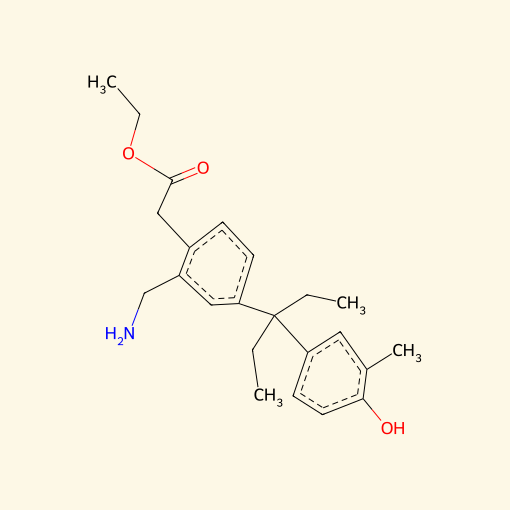 CCOC(=O)Cc1ccc(C(CC)(CC)c2ccc(O)c(C)c2)cc1CN